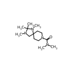 CN(C)C(=O)N1CCC2(CC1)CN(C)C(C)(C)N2C